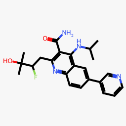 CC(C)Nc1c(C(N)=O)c(CC(F)C(C)(C)O)nc2ccc(-c3cccnc3)cc12